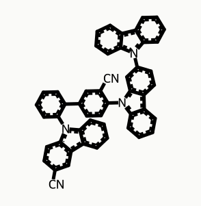 N#Cc1ccc2c(c1)c1ccccc1n2-c1ccccc1-c1ccc(-n2c3ccccc3c3ccc(-n4c5ccccc5c5ccccc54)cc32)c(C#N)c1